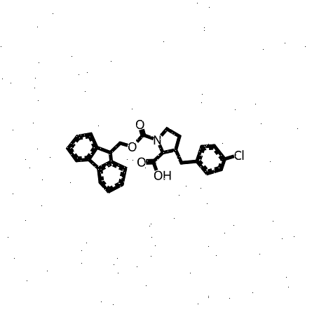 O=C(O)C1C(Cc2ccc(Cl)cc2)CCN1C(=O)OCC1c2ccccc2-c2ccccc21